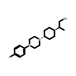 CC(CS)[C@H]1CC[C@H](N2CCN(c3ccc(F)cc3)CC2)CC1